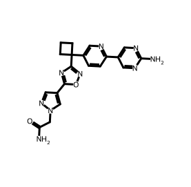 NC(=O)Cn1cc(-c2nc(C3(c4ccc(-c5cnc(N)nc5)nc4)CCC3)no2)cn1